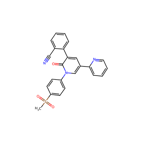 CS(=O)(=O)c1ccc(-n2cc(-c3ccccn3)cc(-c3ccccc3C#N)c2=O)cc1